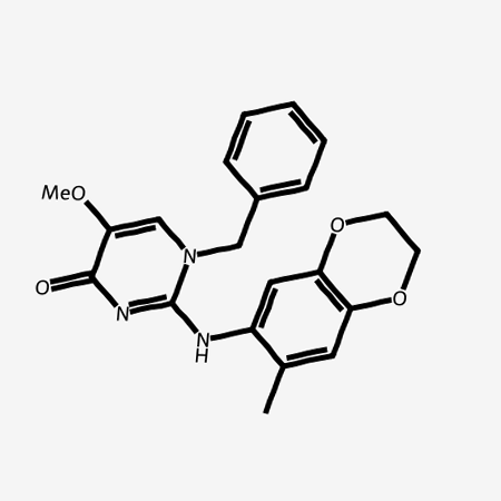 COc1cn(Cc2ccccc2)c(Nc2cc3c(cc2C)OCCO3)nc1=O